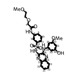 COCCOCC(=O)Nc1cccc(S(=O)(=O)Nc2nc3ccccc3nc2Nc2cc(O)cc(OC)c2)c1